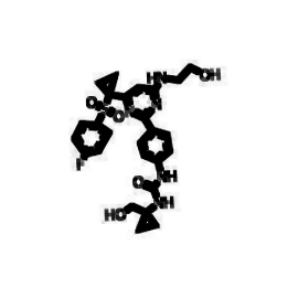 O=C(Nc1ccc(-c2nc(NCCO)cc(C3(S(=O)(=O)c4ccc(F)cc4)CC3)n2)cc1)NC1(CO)CC1